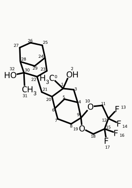 CC1(O)CC2CC(CCC23OCC(F)(F)C(F)(F)CO3)C1CC1CC2CCCC(C2)C1(C)O